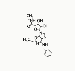 CCNC(=O)C1OC(n2cnc3c(NCc4ccccc4)nc(CC)nc32)C(O)C1O